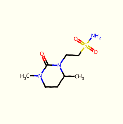 CC1CCN(C)C(=O)N1CCS(N)(=O)=O